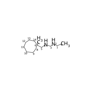 CCNCNCC1(C)CCCCCCC1